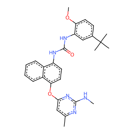 CNc1nc(C)cc(Oc2ccc(NC(=O)Nc3cc(C(C)(C)C)ccc3OC)c3ccccc23)n1